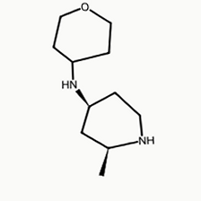 C[C@H]1C[C@@H](NC2CCOCC2)CCN1